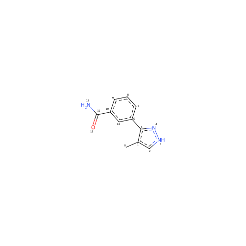 Cc1c[nH]nc1-c1cccc(C(N)=O)c1